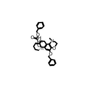 CN1CCOc2c(OCc3ccccc3)cc3c(c21)C[C@H]1C2CCCC[C@@]32CCN1C(=O)OCc1ccccc1